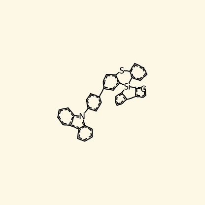 c1ccc2c(c1)Sc1ccc(-c3ccc(-n4c5ccccc5c5ccccc54)cc3)cc1[Si]21c2ccccc2-c2ccccc21